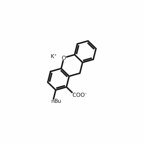 CCCCc1ccc2c(c1C(=O)[O-])Cc1ccccc1O2.[K+]